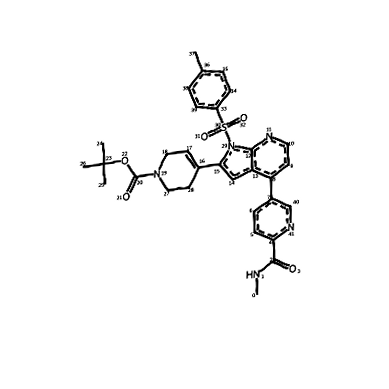 CNC(=O)c1ccc(-c2ccnc3c2cc(C2=CCN(C(=O)OC(C)(C)C)CC2)n3S(=O)(=O)c2ccc(C)cc2)cn1